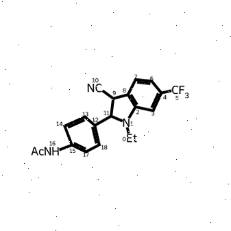 CCN1c2cc(C(F)(F)F)ccc2C(C#N)C1c1ccc(NC(C)=O)cc1